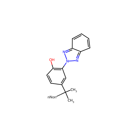 CCCCCCCCCC(C)(C)c1ccc(O)c(-n2nc3ccccc3n2)c1